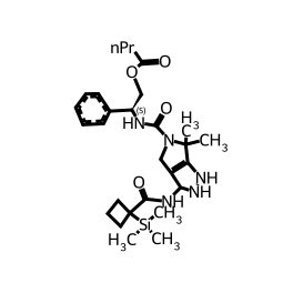 CCCC(=O)OC[C@@H](NC(=O)N1CC2=C(NNC2NC(=O)C2([Si](C)(C)C)CCC2)C1(C)C)c1ccccc1